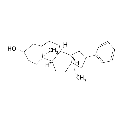 C[C@]12CC[C@H]3[C@@H](CCC4C[C@@H](O)CC[C@@]43C)[C@@H]1CC(c1ccccc1)C2